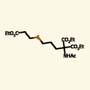 CCOC(=O)CCSCCCC(NC(C)=O)(C(=O)OCC)C(=O)OCC